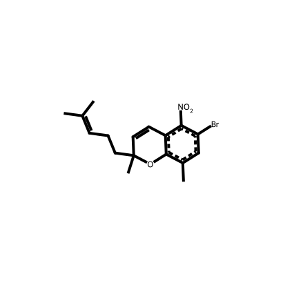 CC(C)=CCCC1(C)C=Cc2c(c(C)cc(Br)c2[N+](=O)[O-])O1